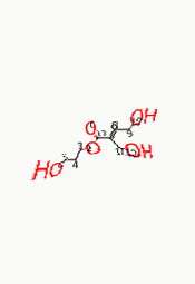 O=C(OCCCO)C(=CCO)CO